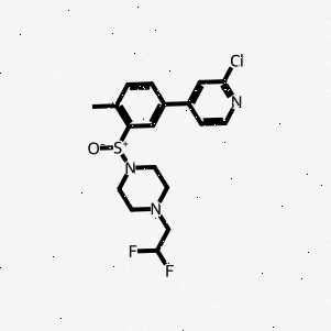 Cc1ccc(-c2ccnc(Cl)c2)cc1[S+]([O-])N1CCN(CC(F)F)CC1